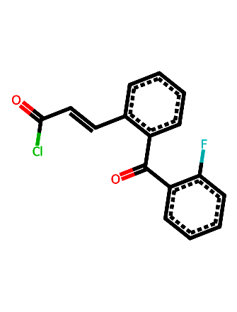 O=C(Cl)C=Cc1ccccc1C(=O)c1ccccc1F